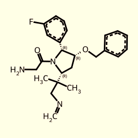 C=NCC(C)(C)[C@H]1C[C@@H](OCc2ccccc2)[C@@H](c2cccc(F)c2)N1C(=O)CN